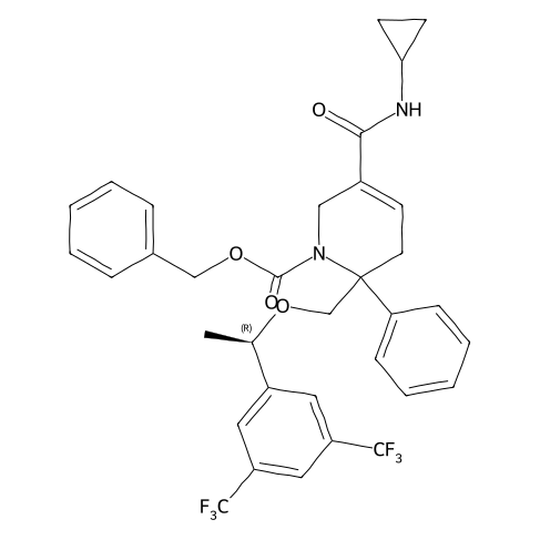 C[C@@H](OCC1(c2ccccc2)CC=C(C(=O)NC2CC2)CN1C(=O)OCc1ccccc1)c1cc(C(F)(F)F)cc(C(F)(F)F)c1